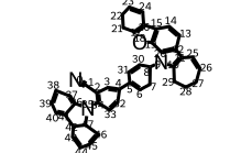 N#Cc1cc(C2=CCC(n3c4c(c5ccc6c7c(oc6c53)CCC=C7)C=CCCC4)C=C2)ccc1N1c2ccccc2C2C=CC=CC21